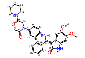 COc1cc2c(cc1OC)C(=C(Nc1ccc(N(CC(=O)N3CCCCC3)C(C)=O)cc1)c1ccccc1)C(=O)N2